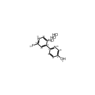 Cl.Cl.Cl.Oc1ccc(-c2ccnc(F)c2)nc1